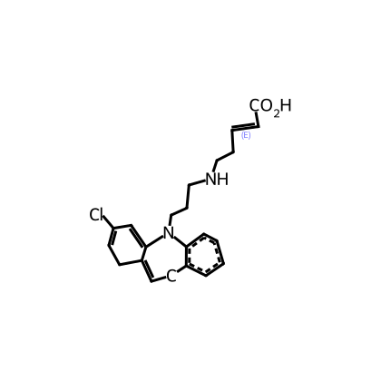 O=C(O)/C=C/CCNCCCN1C2=CC(Cl)=CCC2=CCc2ccccc21